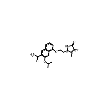 CC(C)Oc1cc2c(OCC[C@H]3NC(=O)[C@@H](F)[C@H]3C)nccc2cc1C(N)=O